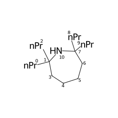 CCCC1(CCC)CCCCC(CCC)(CCC)N1